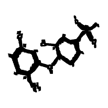 CS(=O)(=O)c1ccc(Oc2cc(Cl)ccc2N)c(Cl)c1